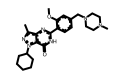 COc1cc(CN2CCN(C)CC2)ccc1-c1nc2c(C)nn(C3CCCCC3)c2c(=O)[nH]1